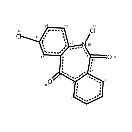 O=c1c2ccccc2c(=O)n(Cl)c2ccc(Cl)cc12